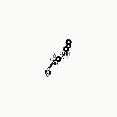 COc1cc(NC(=O)Nc2ccc3c(c2)Cc2ccccc2-3)ccc1C(=O)NCCCN1CCOCC1